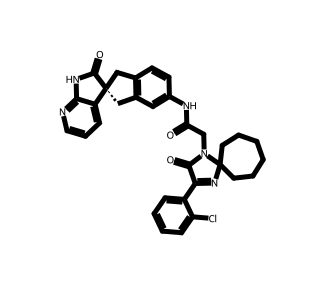 O=C(CN1C(=O)C(c2ccccc2Cl)=NC12CCCCCC2)Nc1ccc2c(c1)C[C@@]1(C2)C(=O)Nc2ncccc21